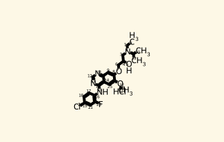 CCN(CC(O)COc1cc2ncnc(Nc3ccc(Cl)cc3F)c2cc1OC)C(C)C.Cl